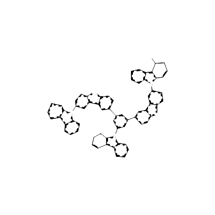 CC1CC=Cc2c1c1ccccc1n2-c1ccc2oc3ccc(-c4cc(-c5ccc6oc7ccc(-n8c9ccccc9c9ccccc98)cc7c6c5)cc(-n5c6c(c7ccccc75)C=CCC6)c4)cc3c2c1